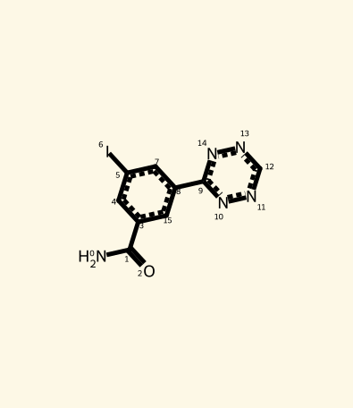 NC(=O)c1cc(I)cc(-c2nncnn2)c1